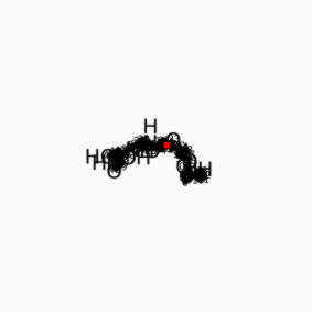 O=C(Nc1ccccc1-c1ccccc1)OC1CCN(CCC(=O)N2CCC(C(=O)Nc3ccc(CNCC(O)c4ccc(O)c5[nH]c(=O)ccc45)cc3)CC2)CC1